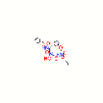 CCCCOC(=O)[C@@H]1COc2cccc(c2)C[C@H](NC(=O)OCc2ccccc2)C(=O)N(C)[C@@H](CO)C(=O)N1